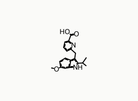 COc1ccc2c(Cc3cccc(C(=O)O)n3)c(C(C)C)[nH]c2c1